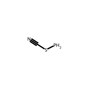 N#CSP